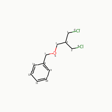 ClCC(CCl)COCc1ccccc1